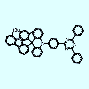 Cc1ccccc1C1(c2cccc3c2oc2c(C(C)(C)C)cccc23)c2ccccc2N(c2ccc(-c3nc(-c4ccccc4)nc(-c4ccccc4)n3)cc2)c2ccccc21